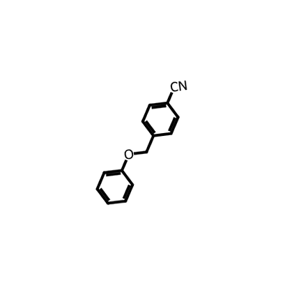 N#Cc1ccc(COc2ccccc2)cc1